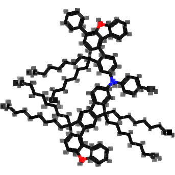 CCCCCCCCC1(CCCCCCCC)c2cc(N(c3ccc(C)cc3)c3ccc4c(c3)C(CCCCCCC)(CCCCCCC)c3cc(-c5ccccc5)c5oc6ccccc6c5c3-4)ccc2-c2cc3c(cc21)-c1c(ccc2oc4ccccc4c12)C3(CCCCCCCC)CCCCCCCC